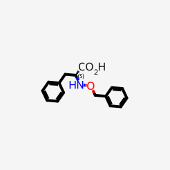 O=C(O)[C@H](Cc1ccccc1)NOCc1ccccc1